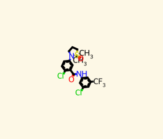 CS1(C)(=O)CCCN1c1ccc(Cl)c(C(=O)Nc2cc(Cl)cc(C(F)(F)F)c2)c1